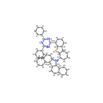 c1ccc(-c2nc(-c3ccccc3)nc(-c3cccc4c3sc3c(-n5c6ccc7ccccc7c6c6ccc7ccccc7c65)cccc34)n2)cc1